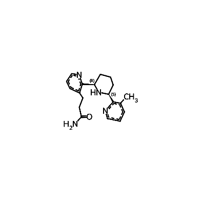 Cc1cccnc1[C@@H]1CCC[C@H](c2ncccc2CCC(N)=O)N1